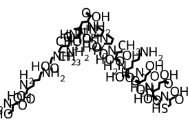 CC[C@H](C)[C@H](N)C(=O)O.C[C@@H](O)[C@H](N)C(=O)O.NCC(=O)O.NCCCC[C@H](N)C(=O)O.NCCCC[C@H](N)C(=O)O.N[C@@H](CC(=O)O)C(=O)O.N[C@@H](CCC(=O)O)C(=O)O.N[C@@H](CO)C(=O)O.N[C@@H](CS)C(=O)O.N[C@@H](Cc1c[nH]cn1)C(=O)O.O=C(O)[C@@H]1CCCN1.O=C(O)[C@@H]1CCCN1